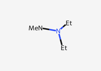 [CH2]NN(CC)CC